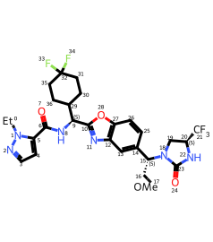 CCn1nccc1C(=O)N[C@H](c1nc2cc([C@@H](COC)N3C[C@@H](C(F)(F)F)NC3=O)ccc2o1)C1CCC(F)(F)CC1